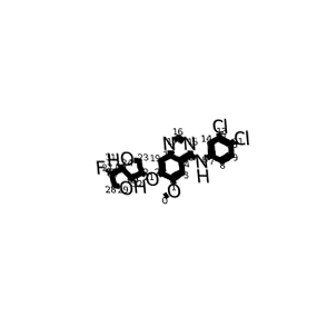 COc1cc2c(Nc3ccc(Cl)c(Cl)c3)ncnc2cc1OC1CO[C@H]2[C@H](F)CO[C@@H]12